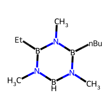 CCCCB1N(C)BN(C)B(CC)N1C